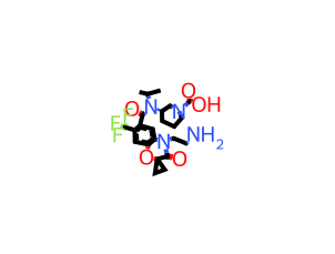 CC(C)N(C(=O)c1cc2c(cc1C(F)(F)F)OC1(CC1)C(=O)N2CCN)[C@@H]1CCCN(C(=O)O)C1